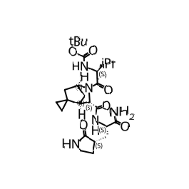 CC(C)[C@H](NC(=O)OC(C)(C)C)C(=O)N1[C@H]2C[C@@H]([C@H]1C(=O)N[C@@H](C[C@@H]1CCNC1=O)C(N)=O)C1(CC1)C2